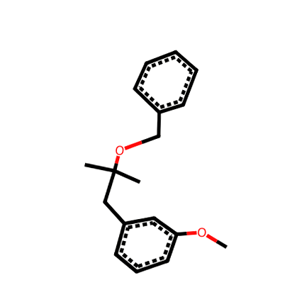 COc1cccc(CC(C)(C)OCc2ccccc2)c1